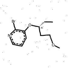 CC[C@H](CCOC)Oc1cccnc1Br